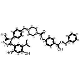 CC(C)c1cc(-c2nnc(O)n2-c2ccc(CN3CCN(C(=O)Oc4ccc(C(O)OCc5ccccc5)cc4)CC3)cc2)c(O)cc1O